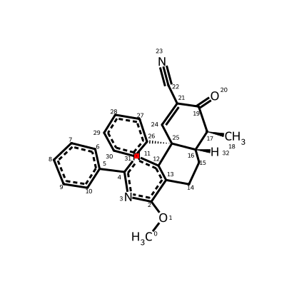 COc1nc(-c2ccccc2)nc2c1CC[C@H]1[C@H](C)C(=O)C(C#N)=C[C@]21c1ccccc1